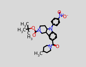 CC1CCN(C(=O)c2ccc3c(c2)C2CN(C(=O)OC(C)(C)C)CCC2N3c2ccc([N+](=O)[O-])cc2)CC1